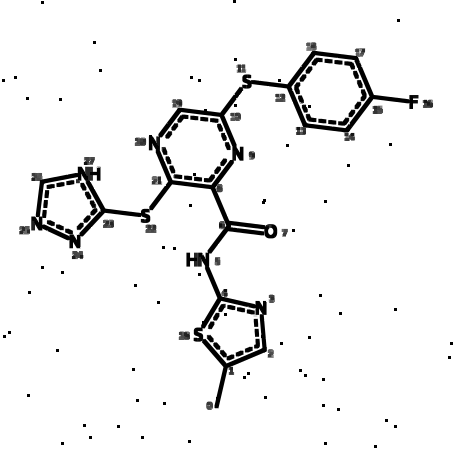 Cc1cnc(NC(=O)c2nc(Sc3ccc(F)cc3)cnc2Sc2nnc[nH]2)s1